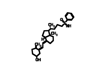 C=C1CC[C@H](O)C/C1=C/C=C1\CCC[C@]2(C)C([C@H](C)CCCS(=N)(=O)c3ccccc3)CC[C@@H]12